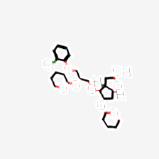 OC1C[C@H]2[C@H](OCC(COc3ccccc3Cl)OC3CCCCO3)[C@@H](OC3CCCCO3)C[C@H]2O1